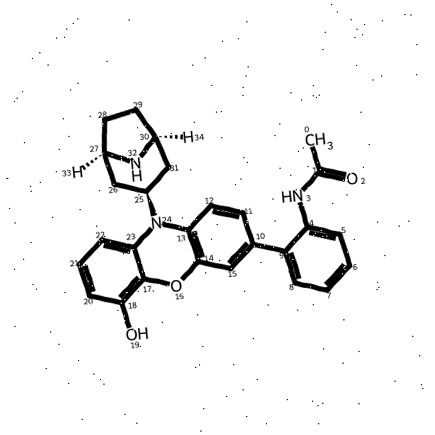 CC(=O)Nc1ccccc1-c1ccc2c(c1)Oc1c(O)cccc1N2[C@H]1C[C@H]2CC[C@@H](C1)N2